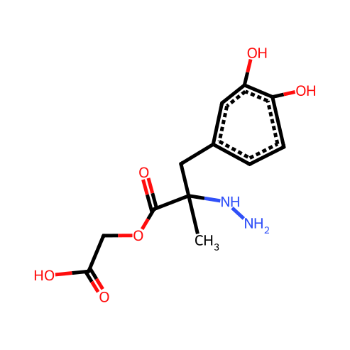 CC(Cc1ccc(O)c(O)c1)(NN)C(=O)OCC(=O)O